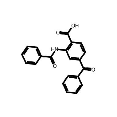 O=C(Nc1cc(C(=O)c2ccccc2)ccc1C(=O)O)c1ccccc1